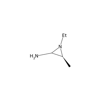 CCN1C(N)[C@@H]1C